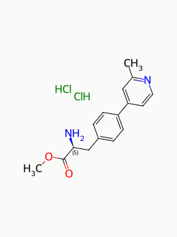 COC(=O)[C@@H](N)Cc1ccc(-c2ccnc(C)c2)cc1.Cl.Cl